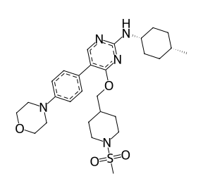 CS(=O)(=O)N1CCC(COc2nc(N[C@H]3CC[C@@H](C)CC3)ncc2-c2ccc(N3CCOCC3)cc2)CC1